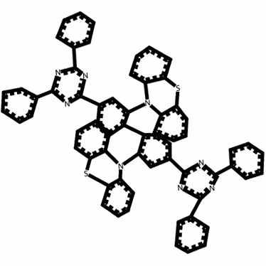 c1ccc(-c2nc(-c3ccccc3)nc(-c3ccc(-c4ccc(-c5nc(-c6ccccc6)nc(-c6ccccc6)n5)cc4N4c5ccccc5Sc5ccccc54)c(N4c5ccccc5Sc5ccccc54)c3)n2)cc1